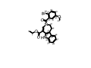 CCOC(=O)C1=CN(C(=O)c2cc(OC)ccc2Br)CCc2c1[nH]c1ccccc21